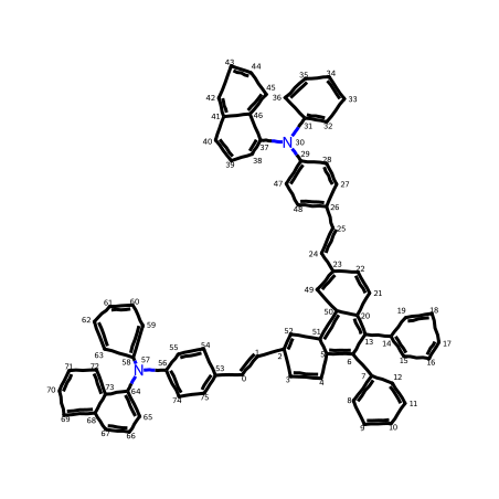 C(=C\c1ccc2c(-c3ccccc3)c(-c3ccccc3)c3ccc(/C=C/c4ccc(N(c5ccccc5)c5cccc6ccccc56)cc4)cc3c2c1)/c1ccc(N(c2ccccc2)c2cccc3ccccc23)cc1